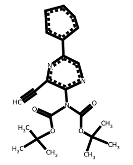 C#Cc1nc(-c2ccccc2)cnc1N(C(=O)OC(C)(C)C)C(=O)OC(C)(C)C